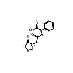 NC(=O)C(NC(=O)CN1CCCC1=O)c1ccccc1